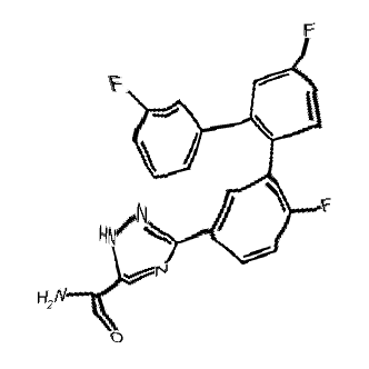 NC(=O)c1nc(-c2ccc(F)c(-c3ccc(F)cc3-c3cccc(F)c3)c2)n[nH]1